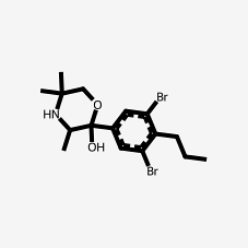 CCCc1c(Br)cc(C2(O)OCC(C)(C)NC2C)cc1Br